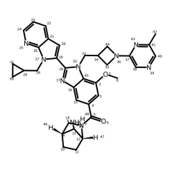 COc1cc(C(=O)N2C[C@H]3CC[C@@H]2[C@@H]3N)cc2nc(-c3cc4cccnc4n3CC3CC3)n(CC3CN(c4cncc(C)n4)C3)c12